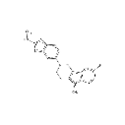 CNc1nc2cc(N3CCc4c(c5cc(F)ccc5n4C)C3)ccc2s1